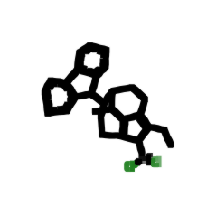 CCC1=C2CCC3C(C)C2=C(CCC3C2c3ccccc3-c3ccccc32)[CH]1[Hf]([Cl])[Cl]